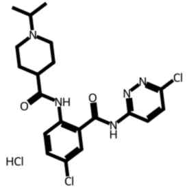 CC(C)N1CCC(C(=O)Nc2ccc(Cl)cc2C(=O)Nc2ccc(Cl)nn2)CC1.Cl